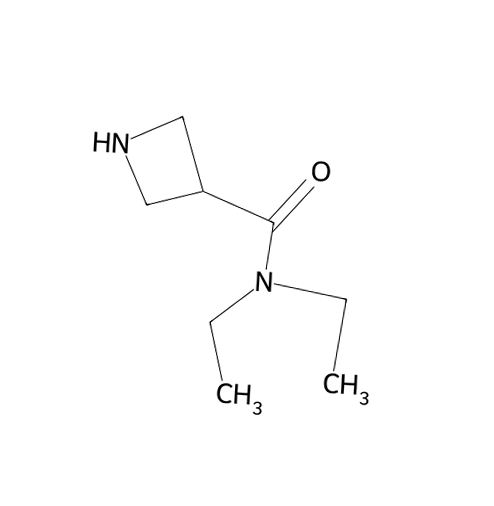 CCN(CC)C(=O)C1CNC1